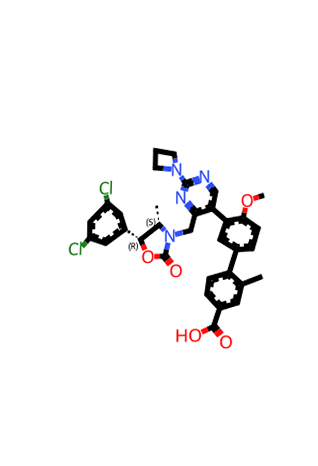 COc1ccc(-c2ccc(C(=O)O)cc2C)cc1-c1cnc(N2CCC2)nc1CN1C(=O)O[C@H](c2cc(Cl)cc(Cl)c2)[C@@H]1C